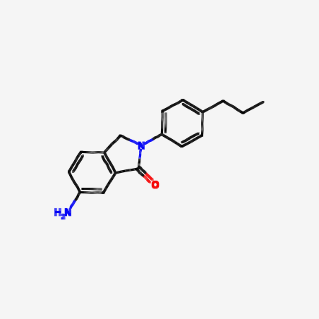 CCCc1ccc(N2Cc3ccc(N)cc3C2=O)cc1